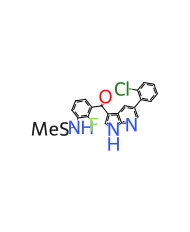 CSNc1cccc(C(=O)c2c[nH]c3ncc(-c4ccccc4Cl)cc23)c1F